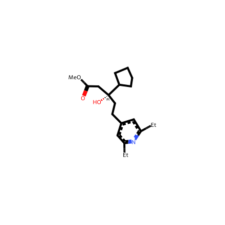 CCc1cc(CC[C@@](O)(CC(=O)OC)C2CCCC2)cc(CC)n1